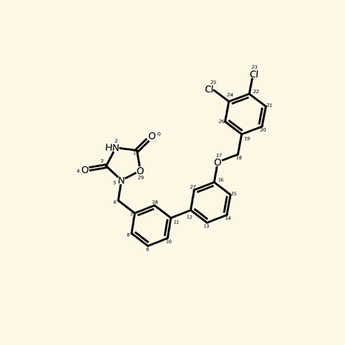 O=c1[nH]c(=O)n(Cc2cccc(-c3cccc(OCc4ccc(Cl)c(Cl)c4)c3)c2)o1